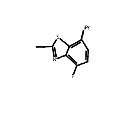 Cc1nc2c(F)ccc(C(C)C)c2s1